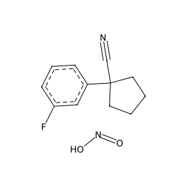 N#CC1(c2cccc(F)c2)CCCC1.O=NO